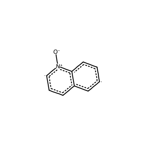 [O-][n+]1[c]ccc2c[c]ccc21